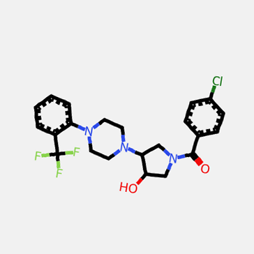 O=C(c1ccc(Cl)cc1)N1CC(O)C(N2CCN(c3ccccc3C(F)(F)F)CC2)C1